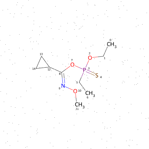 CCOP(=S)(CC)OC(=NOC)C1CC1